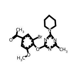 COc1cc(C(C)=O)cc(Br)c1Oc1nc(C)nc(N2CCCCC2)n1